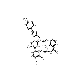 CCN1CCC(N(Cc2ccc(-c3ccc(C(F)(F)F)cc3)s2)C(=O)Cn2c(CCc3cccc(F)c3F)nc(=O)c3ccccc32)CC1